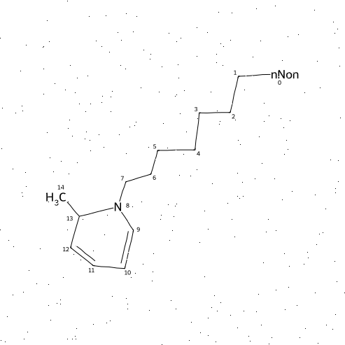 CCCCCCCCCCCCCCCCN1C=CC=CC1C